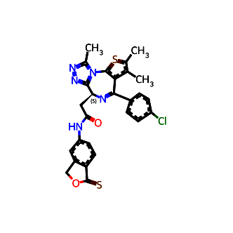 Cc1sc2c(c1C)C(c1ccc(Cl)cc1)=N[C@@H](CC(=O)Nc1ccc3c(c1)COC3=S)c1nnc(C)n1-2